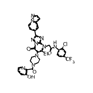 CCc1c(N2CCN(C(=O)c3ncccc3O)CC2)c(=O)n2nc(-c3ccn4nccc4c3)nc2n1CC(=O)Nc1ccc(C(F)(F)F)cc1Cl